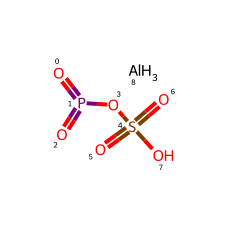 O=P(=O)OS(=O)(=O)O.[AlH3]